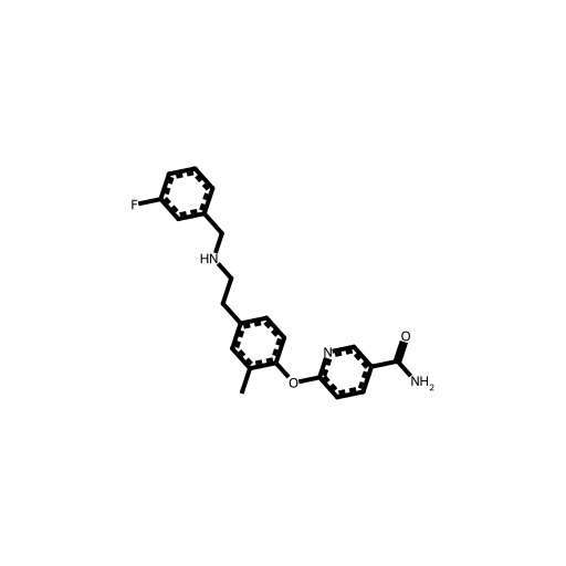 Cc1cc(CCNCc2cccc(F)c2)ccc1Oc1ccc(C(N)=O)cn1